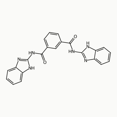 O=C(Nc1nc2ccccc2[nH]1)c1cccc(C(=O)Nc2nc3ccccc3[nH]2)c1